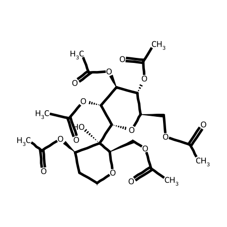 CC(=O)OC[C@H]1O[C@H]([C@@]2(O)[C@@H](COC(C)=O)O[CH]C[C@H]2OC(C)=O)[C@H](OC(C)=O)[C@@H](OC(C)=O)[C@@H]1OC(C)=O